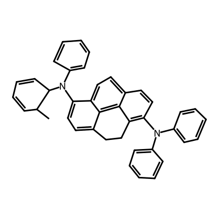 CC1C=CC=CC1N(c1ccccc1)c1ccc2c3c1ccc1ccc(N(c4ccccc4)c4ccccc4)c(c13)CC2